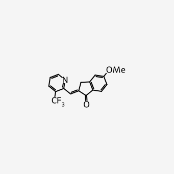 COc1ccc2c(c1)C/C(=C\c1ncccc1C(F)(F)F)C2=O